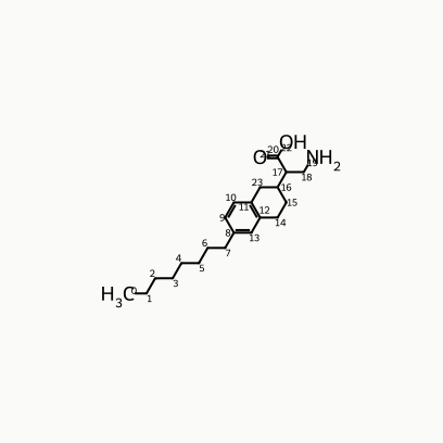 CCCCCCCCc1ccc2c(c1)CCC(C(CN)C(=O)O)C2